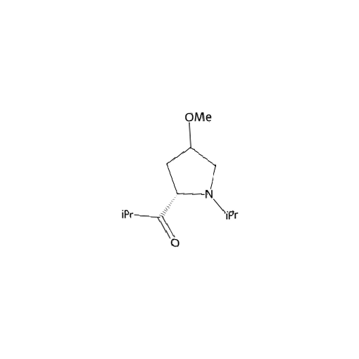 COC1C[C@@H](C(=O)C(C)C)N(C(C)C)C1